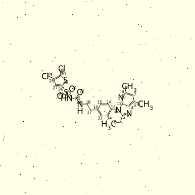 CCc1nc2c(C)cc(C)nc2n1-c1ccc(CCNC(=O)NS(=O)(=O)c2cc(Cl)c(Cl)s2)cc1